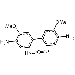 COc1cc(-c2ccc(N)c(OC)c2)ccc1N.N=C=O